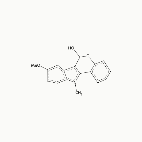 COc1ccc2c(c1)c1c(n2C)-c2ccccc2OC1O